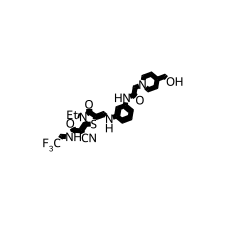 CCn1c(=C(C#N)C(=O)NCC(F)(F)F)sc(=CNc2cccc(NC(=O)CN3CCC(CO)CC3)c2)c1=O